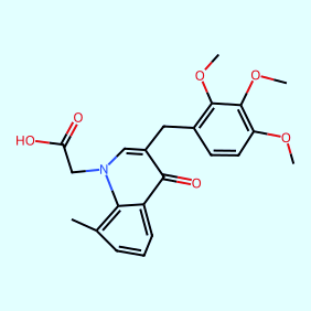 COc1ccc(Cc2cn(CC(=O)O)c3c(C)cccc3c2=O)c(OC)c1OC